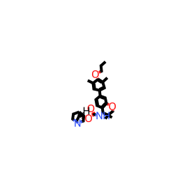 CCCOc1c(C)cc(-c2ccc3c(c2)OCC(C)(C)C3NC(=O)O[C@H]2CN3CCC2CC3)cc1C